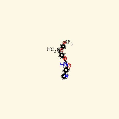 O=C(NCCOc1ccc(CC(Oc2ccc(OC(F)(F)F)cc2)C(=O)O)cc1)c1ccc(-c2ccccn2)cc1